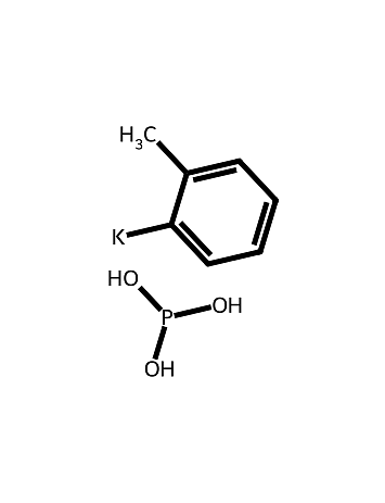 Cc1cccc[c]1[K].OP(O)O